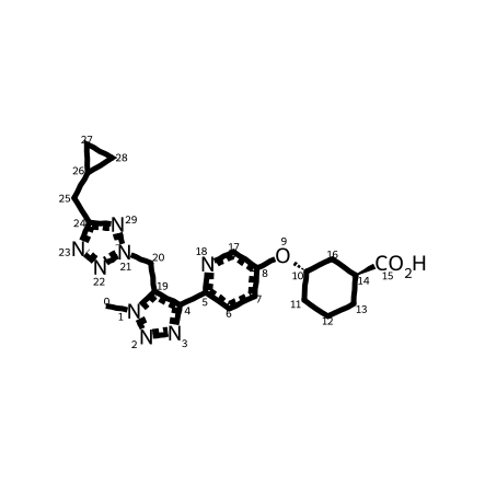 Cn1nnc(-c2ccc(O[C@H]3CCC[C@H](C(=O)O)C3)cn2)c1Cn1nnc(CC2CC2)n1